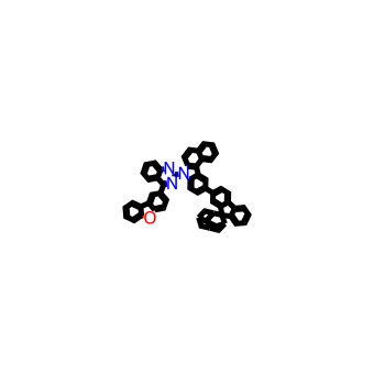 c1ccc2c(c1)-c1ccc(-c3ccc4c(c3)c3c5ccccc5ccc3n4-c3nc(-c4ccc5oc6ccccc6c5c4)c4ccccc4n3)cc1C21C2CC3CC(C2)CC1C3